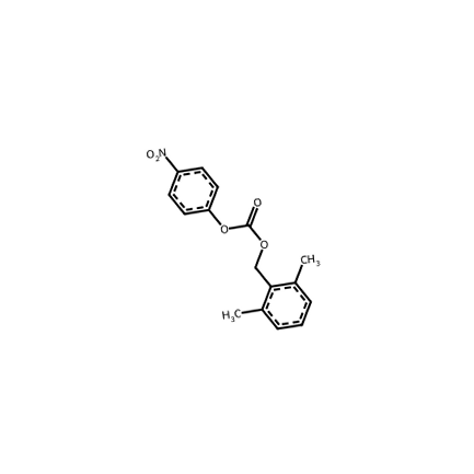 Cc1cccc(C)c1COC(=O)Oc1ccc([N+](=O)[O-])cc1